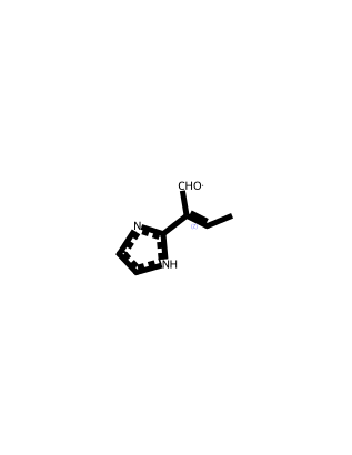 C/C=C(\[C]=O)c1ncc[nH]1